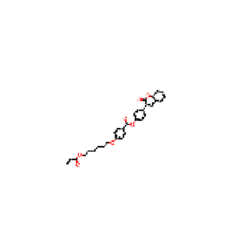 C=CC(=O)OCCCCCCOc1ccc(C(=O)Oc2ccc(-c3cc4ccccc4oc3=O)cc2)cc1